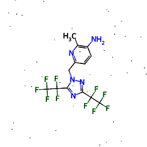 Cc1nc(Cn2nc(C(F)(F)C(F)(F)F)nc2C(F)(F)C(F)(F)F)ccc1N